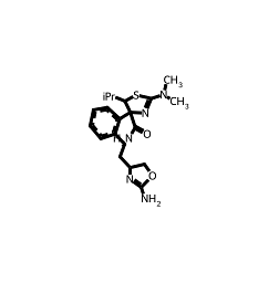 CC(C)C1SC(N(C)C)=NC1(C(N)=O)c1ccccc1CCC1COC(N)=N1